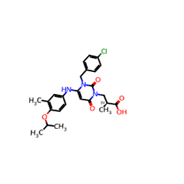 Cc1cc(Nc2cc(=O)n(C[C@H](C)C(=O)O)c(=O)n2Cc2ccc(Cl)cc2)ccc1OC(C)C